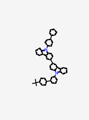 CC(C)(C)c1ccc(-c2cccc(-n3c4ccccc4c4cc(-c5ccc6c(c5)c5ccccc5n6-c5ccc(-c6ccccc6)cc5)ccc43)c2)cc1